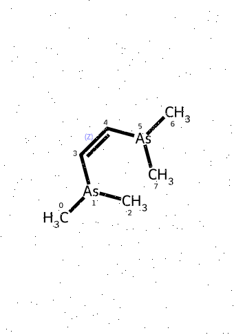 C[As](C)/C=C\[As](C)C